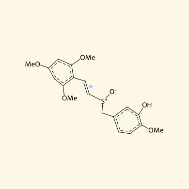 COc1cc(OC)c(/C=C/[S+]([O-])Cc2ccc(OC)c(O)c2)c(OC)c1